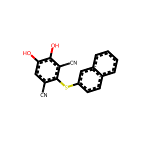 N#Cc1cc(O)c(O)c(C#N)c1Sc1ccc2ccccc2c1